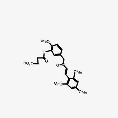 COc1cc(OC)c(C=C[S+]([O-])Cc2ccc(OC)c(OC(=O)CCC(=O)O)c2)c(OC)c1